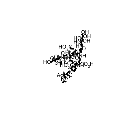 CC(=O)c1nc(CNc2ccc(C(=O)N[C@@H](CCC(=O)N[C@@H](CCC(=O)NC[C@H](O)[C@@H](O)[C@H](O)[C@H](O)CO)C(=O)N[C@@H](CCC(=O)O)C(=O)N[C@@H](CCC(=O)NC[C@H](O)[C@@H](O)[C@H](O)[C@H](O)CO)C(=O)N[C@@H](CCC(=O)O)C(C)=O)C(=O)O)cc2)cnc1N=C(C)C